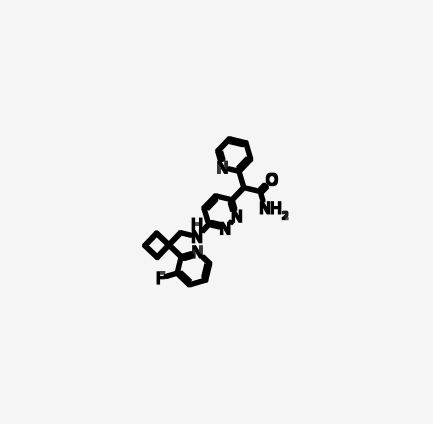 NC(=O)C(c1ccccn1)c1ccc(NCC2(c3ncccc3F)CCC2)nn1